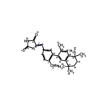 COc1ccc(/C=C2\SC(=S)NC2=O)cc1-c1cc2c(cc1C)C(C)(C)CCC2(C)C